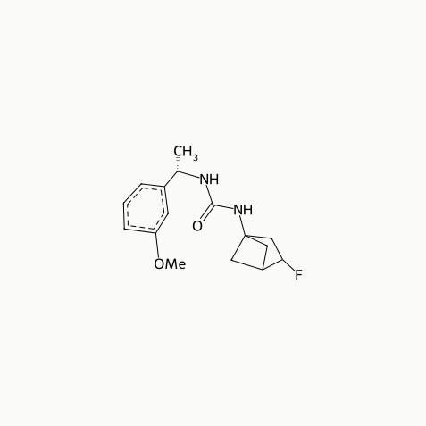 COc1cccc([C@H](C)NC(=O)NC23CC(F)C(C2)C3)c1